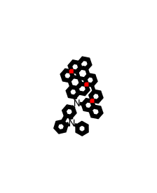 c1ccc(-c2ccc3c(c2)C2(c4ccccc4-c4ccc(N(c5ccc6ccccc6c5)c5ccc6c7ccccc7n(-c7ccccc7)c6c5)c5cccc2c45)c2cccc4cccc-3c24)cc1